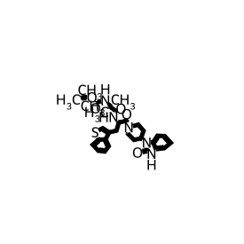 CC(C)(C)OC(=O)NC(C)(C)C(=O)NC(Cc1csc2ccccc12)C(=O)N1CCC(n2c(=O)[nH]c3ccccc32)CC1